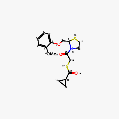 COc1ccccc1OCC1SCCN1C(=O)CSC(=O)C1CC1